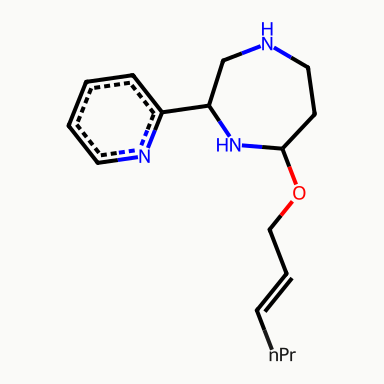 CCC/C=C/COC1CCNCC(c2ccccn2)N1